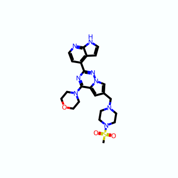 CS(=O)(=O)N1CCN(Cc2cc3c(N4CCOCC4)nc(-c4ccnc5[nH]ccc45)nn3c2)CC1